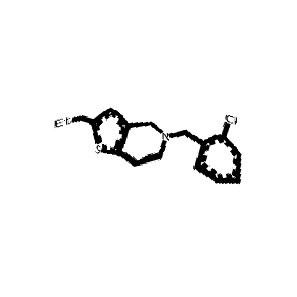 CCc1cc2c(s1)CCN(Cc1ccccc1Cl)C2